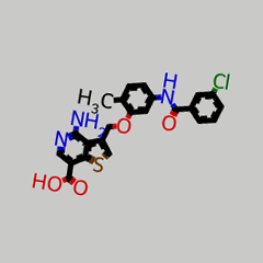 Cc1ccc(NC(=O)c2cccc(Cl)c2)cc1OCc1csc2c(C(=O)O)cnc(N)c12